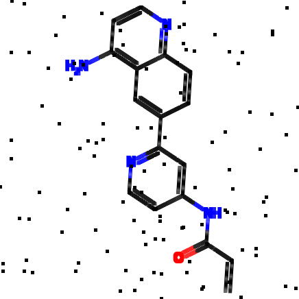 C=CC(=O)Nc1ccnc(-c2ccc3nccc(N)c3c2)c1